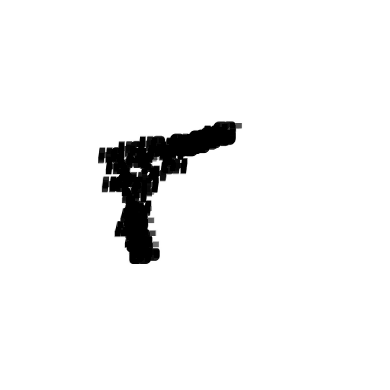 OCC[NH+](CCO)CCO.OCC[NH+](CCO)CCO.OCC[NH+](CCO)CCO.OCC[NH+](CCO)CCO.[O]=[Mo](=[O])([O-])[O-].[O]=[Mo](=[O])([O-])[O-].[O]=[Mo](=[O])([O-])[O-].[O]=[Mo](=[O])([O-])[O-].[O]=[Mo](=[O])([O-])[O-].[O]=[Mo](=[O])([O-])[O-].[O]=[Mo](=[O])([O-])[O-].[O]=[Mo](=[O])([O-])[O-]